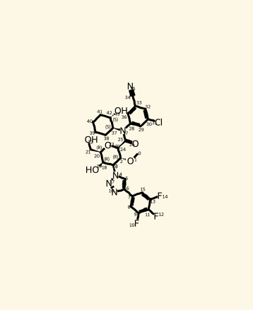 CO[C@@H]1[C@@H](n2cc(-c3cc(F)c(F)c(F)c3)nn2)[C@@H](O)[C@@H](CO)O[C@H]1C(=O)N(c1cc(Cl)cc(C#N)c1)[C@H]1CCCC[C@@H]1O